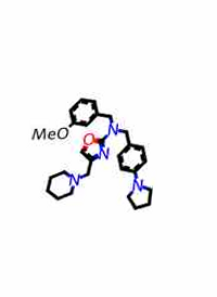 COc1cccc(CN(Cc2ccc(N3CCCC3)cc2)c2nc(CN3CCCCC3)co2)c1